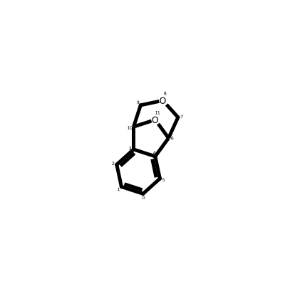 c1ccc2c(c1)C1COCC2O1